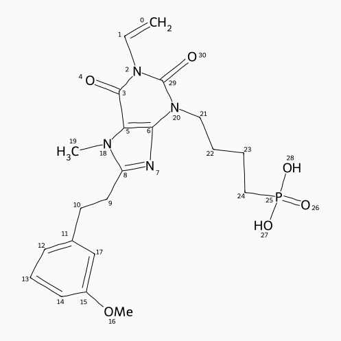 C=Cn1c(=O)c2c(nc(CCc3cccc(OC)c3)n2C)n(CCCCP(=O)(O)O)c1=O